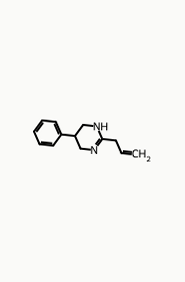 C=CCC1=NCC(c2ccccc2)CN1